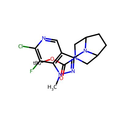 Cn1nc(N2C3CCC2CN(C(=O)OC(C)(C)C)C3)c2cnc(Cl)c(F)c21